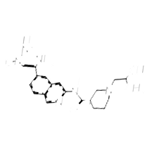 CC(C)CN1CCC[C@@H](C(=O)Nc2cc3cc(/C(N)=C/N(C)N)ccc3cn2)C1